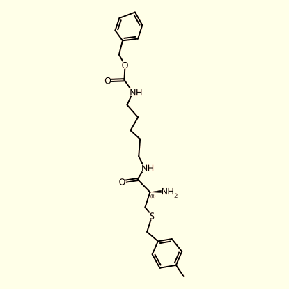 Cc1ccc(CSC[C@H](N)C(=O)NCCCCCNC(=O)OCc2ccccc2)cc1